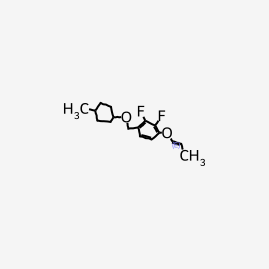 C/C=C/Oc1ccc(COC2CCC(C)CC2)c(F)c1F